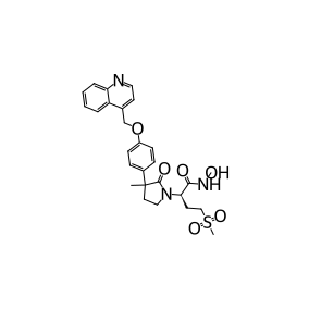 CC1(c2ccc(OCc3ccnc4ccccc34)cc2)CCN([C@H](CCS(C)(=O)=O)C(=O)NO)C1=O